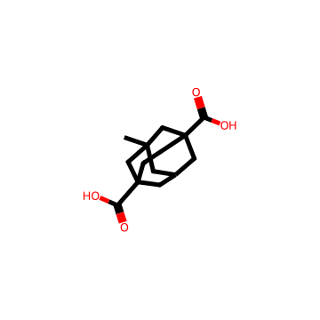 CC12CC3CC(C(=O)O)(C1)CC(C(=O)O)(C3)C2